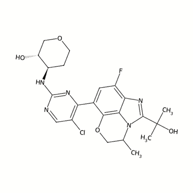 CC1COc2c(-c3nc(N[C@@H]4CCOC[C@H]4O)ncc3Cl)cc(F)c3nc(C(C)(C)O)n1c23